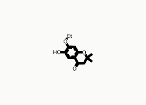 CCOc1cc2c(cc1O)C(=O)CC(C)(C)O2